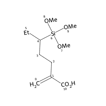 C=C(CCC(CC)[Si](OC)(OC)OC)C(=O)O